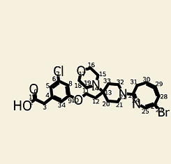 O=C(O)Cc1cc(Cl)cc(OCCC2(N3CCOCC3)CCN(/C3=N/C=C(/Br)C=C=CC3)CC2)c1